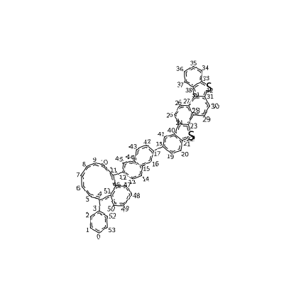 c1ccc(-c2ccccccc(-c3ccc4cc(-c5ccc6sc7c(ccc8c7ccc7sc9ccccc9c78)c6c5)ccc4c3)c3ccccc23)cc1